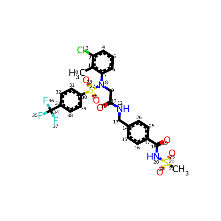 Cc1c(Cl)cccc1N(CC(=O)NCc1ccc(C(=O)NS(C)(=O)=O)cc1)S(=O)(=O)c1ccc(C(F)(F)F)cc1